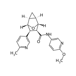 COc1ccc(NC(=O)[C@@H]2[C@@H]3O[C@@H]([C@H]4C[C@H]43)[C@@H]2c2ccc(C)nc2)cn1